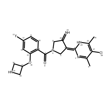 CC1=N/C(=C2\CN(C(=O)c3ccc(F)cc3OC3CNC3)CC2=N)NC(C)=C1Cl